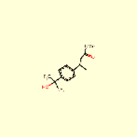 COC(=O)CC(C)c1ccc(C(O)(C(F)(F)F)C(F)(F)F)cc1